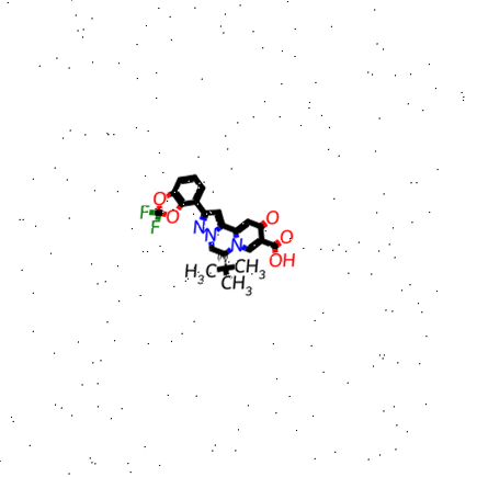 CC(C)(C)[C@@H]1Cn2nc(-c3cccc4c3OC(F)(F)O4)cc2-c2cc(=O)c(C(=O)O)cn21